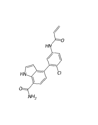 C=CC(=O)Nc1ccc(Cl)c(-c2ccc(C(N)=O)c3[nH]ccc23)c1